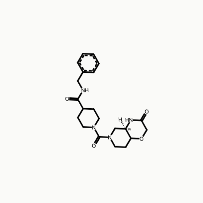 O=C1COC2CCN(C(=O)N3CCC(C(=O)NCc4ccccc4)CC3)C[C@H]2N1